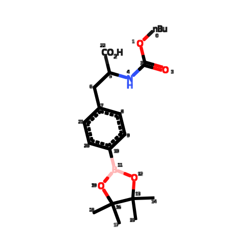 CCCCOC(=O)NC(Cc1ccc(B2OC(C)(C)C(C)(C)O2)cc1)C(=O)O